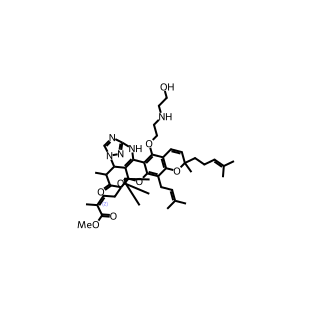 COC(=O)/C(C)=C\CC12OC(C)(C)C(C)C13Oc1c(CC=C(C)C)c4c(c(OCCNCCO)c1C1=C3C(C(C)C2=O)n2cnc(n2)N1)C=CC(C)(CCC=C(C)C)O4